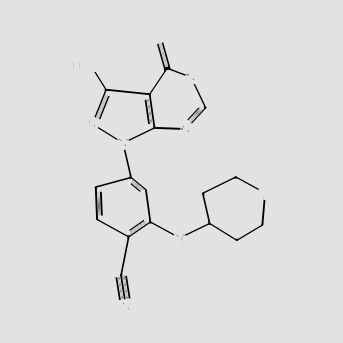 Cc1nn(-c2ccc(C#N)c(NC3CCOCC3)c2)c2nc[nH]c(=O)c12